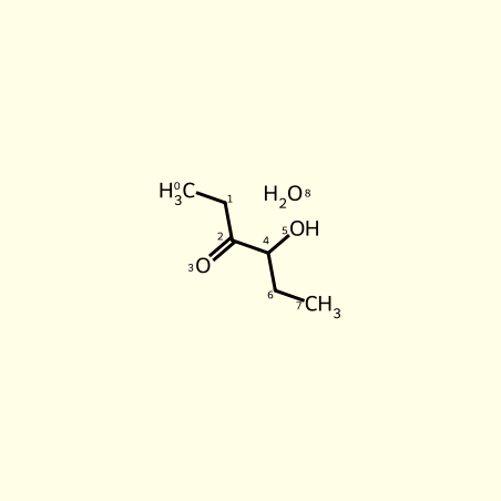 CCC(=O)C(O)CC.O